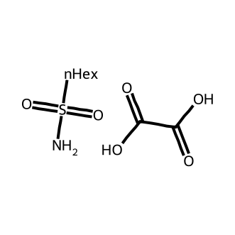 CCCCCCS(N)(=O)=O.O=C(O)C(=O)O